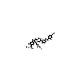 COCCn1c(CN2CCC(c3cccc(OCc4ccc(C#N)cc4)n3)CC2)nc2cc(F)c(C(=O)O)cc21